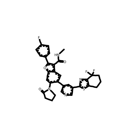 CNC(=O)c1c(-c2ccc(F)cc2)oc2cc(N3CCCC3=O)c(-c3cncc(-c4nc5c(s4)CCCC5(F)F)c3)cc12